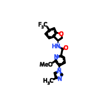 COc1nc(C(=O)N[C@H]2COc3cc(C(F)(F)F)ccc32)ccc1-n1cnc(C)c1